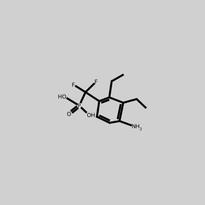 CCc1c(N)ccc(C(F)(F)P(=O)(O)O)c1CC